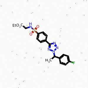 CCOC(=O)CNS(=O)(=O)c1ccc(-c2nnn(C(C)c3ccc(F)cc3)n2)cc1